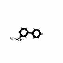 [CH2-][OH+]c1cccc(-c2ccccc2)c1